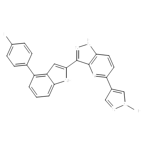 Cn1cc(-c2ccc3[nH]nc(-c4cc5c(-c6ccc(F)cc6)cccc5[nH]4)c3n2)cn1